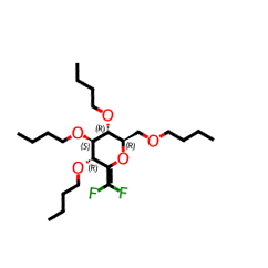 CCCCOC[C@H]1OC(=C(F)F)[C@H](OCCCC)[C@@H](OCCCC)[C@@H]1OCCCC